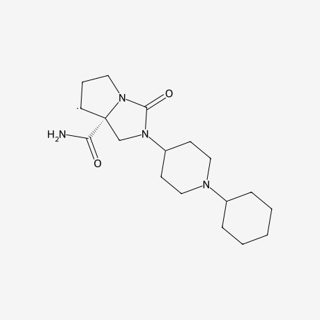 NC(=O)[C@]12[CH]CCN1C(=O)N(C1CCN(C3CCCCC3)CC1)C2